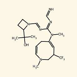 CN1C=CC/C(N(C)C(=N/C=N)/N=C/N2CCC2C(C)(C)O)=C\C(C(F)(F)F)C1